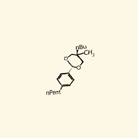 CCCCCc1ccc([C@H]2OC[C@](C)(CCCC)CO2)cc1